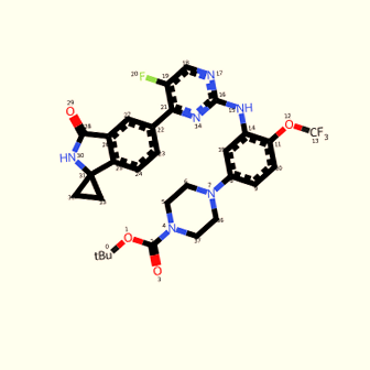 CC(C)(C)OC(=O)N1CCN(c2ccc(OC(F)(F)F)c(Nc3ncc(F)c(-c4ccc5c(c4)C(=O)NC54CC4)n3)c2)CC1